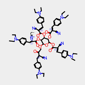 [C-]#[N+]/C(=C\c1ccc(N(CC)CC)cc1)C(=O)OC1C(OCC(=O)/C(C#N)=C/c2ccc(N(CC)CC)cc2)OC(OC(=O)/C(C#N)=C/c2ccc(N(CC)CC)cc2)C(OC(=O)/C(C#N)=C/c2ccc(N(CC)CC)cc2)C1OC(=O)/C(C#N)=C/c1ccc(N(CC)CC)cc1